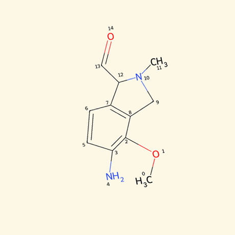 COc1c(N)ccc2c1CN(C)C2C=O